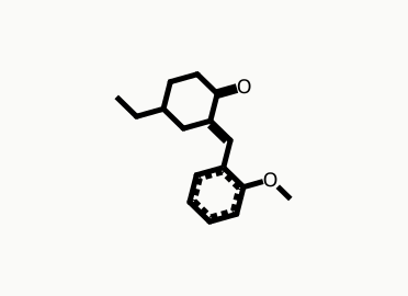 CCC1CCC(=O)C(=Cc2ccccc2OC)C1